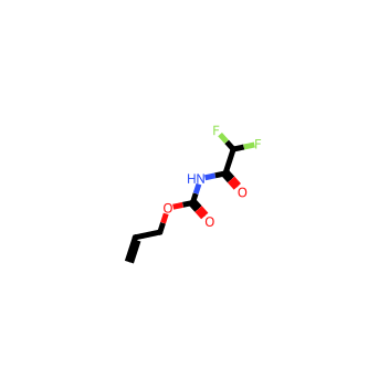 C=CCOC(=O)NC(=O)C(F)F